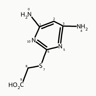 Nc1cc(N)nc(SCC(=O)O)n1